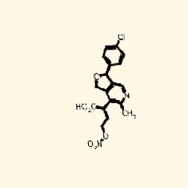 Cc1ncc2c(c1C(CCO[N+](=O)[O-])C(=O)O)COC2c1ccc(Cl)cc1